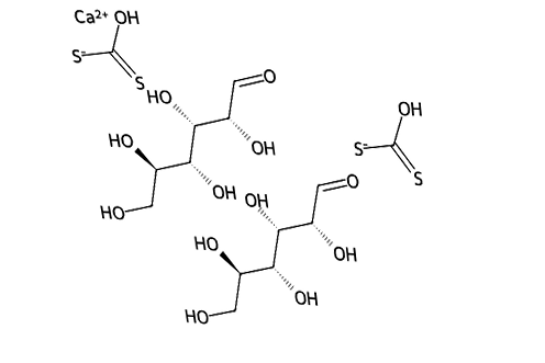 O=C[C@H](O)[C@@H](O)[C@H](O)[C@H](O)CO.O=C[C@H](O)[C@@H](O)[C@H](O)[C@H](O)CO.OC(=S)[S-].OC(=S)[S-].[Ca+2]